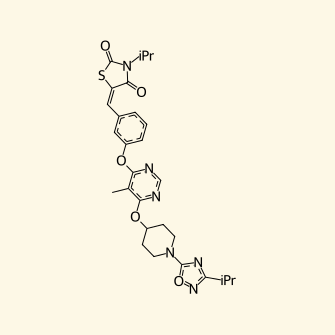 Cc1c(Oc2cccc(C=C3SC(=O)N(C(C)C)C3=O)c2)ncnc1OC1CCN(c2nc(C(C)C)no2)CC1